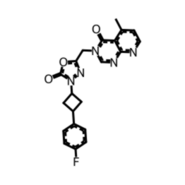 Cc1ccnc2ncn(Cc3nn(C4CC(c5ccc(F)cc5)C4)c(=O)o3)c(=O)c12